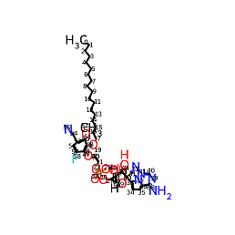 CCCCCCCCCCCCCCCCCCOC[C@H](COP(=O)(O)OC1[C@H]2O[C@@](C#N)(c3ccc4c(N)ncnn34)[C@H](O)[C@@]12O)Oc1cc(OC)c(C#N)cc1F